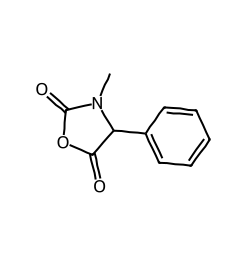 CN1C(=O)OC(=O)C1c1ccccc1